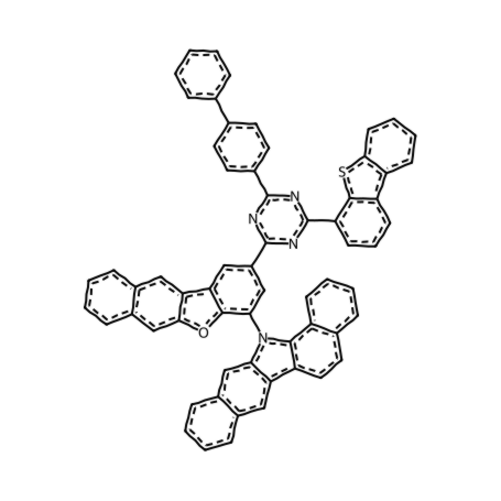 c1ccc(-c2ccc(-c3nc(-c4cc(-n5c6cc7ccccc7cc6c6ccc7ccccc7c65)c5oc6cc7ccccc7cc6c5c4)nc(-c4cccc5c4sc4ccccc45)n3)cc2)cc1